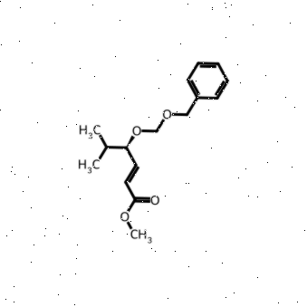 COC(=O)/C=C/[C@H](OCOCc1ccccc1)C(C)C